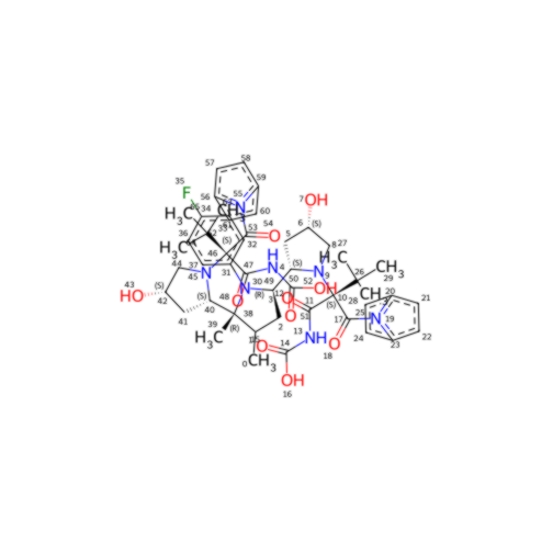 CC1C[C@H]([C@@H]2C[C@H](O)CN2[C@@](C(=O)NC(=O)O)(C(=O)n2c3ccc2cc3)C(C)(C)C)N(c2ccc(F)cc2)[C@@]1(C)[C@@H]1C[C@H](O)CN1[C@@](C(=O)NC(=O)O)(C(=O)n1c2ccc1cc2)C(C)(C)C